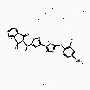 CC(C)COc1ccc(Oc2ncc(-c3cc(C(C)N4C(=O)c5ccccc5C4=O)on3)s2)c(Cl)c1